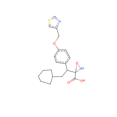 O=C(O)C1(C(CC2CCCCC2)c2ccc(OCc3cscn3)cc2)NO1